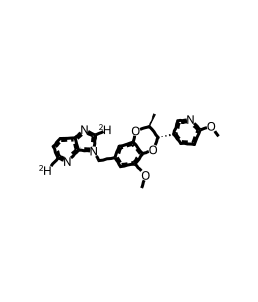 [2H]c1ccc2nc([2H])n(Cc3cc(OC)c4c(c3)O[C@@H](C)[C@H](c3ccc(OC)nc3)O4)c2n1